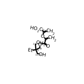 C=C(OC(=C)C(=O)OCC(CC)(CO)CO)C(=O)O